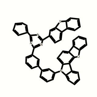 c1ccc(-c2nc(-c3cccc(-c4cccc(-n5c6ccccc6c6c7oc8ccccc8c7ccc65)c4)c3)nc(-c3ccc4c(c3)sc3ccccc34)n2)cc1